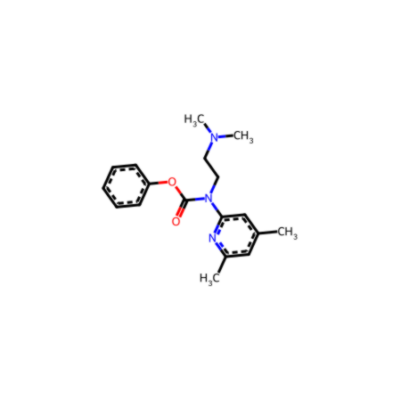 Cc1cc(C)nc(N(CCN(C)C)C(=O)Oc2ccccc2)c1